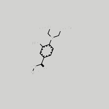 CCOC(=O)CN(CC(=O)OCC)c1ccc(C(=O)NNC(C)=O)cc1C